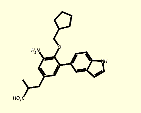 CC(Cc1cc(N)c(OCC2CCCC2)c(-c2ccc3[nH]ccc3c2)c1)C(=O)O